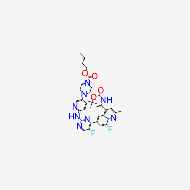 CCCCOC(=O)N1CCN(c2ccc(Nc3ncc(F)c(-c4cc(F)c5nc(C)cc(C(C)NC(=O)OC(C)(C)C)c5c4)n3)nc2)CC1